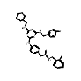 Cc1ccccc1CNC(=O)Cc1ccc(Nc2nc(NCc3ccc(F)cc3)nc(NCC3CCCCC3)n2)cc1